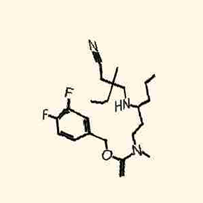 C=C(OCc1ccc(F)c(F)c1)N(C)CCC(CCC)NCC(C)(CC)CC#N